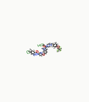 Cc1cc(C(=O)Nc2ccc(Oc3ccc4cc(C(=O)N5CCN(Cc6ccc(OCC(F)(F)F)cc6)CC5)n(C)c4c3)nc2)ccc1Cl.Cl